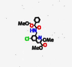 COCOC(C(=O)NCc1cc(Cl)cc2cc(C(=O)OC)c(OC)nc12)c1ccccc1